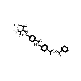 CC[CH]([Co][CH2]C(C)c1ccc(NC(=O)c2ccc(NN=C(C(N)=O)C(N)=O)cc2)cc1)c1ccccc1